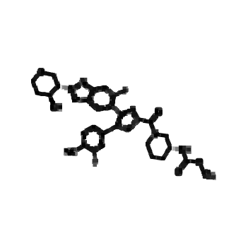 CC(C)(C)OC(=O)N[C@@H]1CCCN(C(=O)c2cc(-c3ccc(C#N)c(F)c3)c(-c3cc4cn([C@H]5COCC[C@@H]5O)nc4cc3F)s2)C1